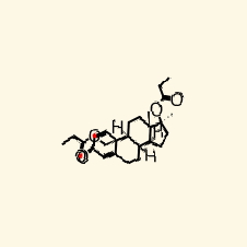 CCC(=O)OC[C@]12C=CC(=O)C=C1CC[C@H]1[C@@H]3CC[C@](C)(OC(=O)CC)[C@@]3(C)CC[C@@H]12